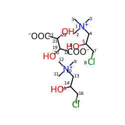 C[N+](C)(C)CC(O)CCl.C[N+](C)(C)CC(O)CCl.O=C([O-])C(O)C(O)C(=O)[O-]